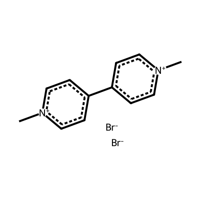 C[n+]1ccc(-c2cc[n+](C)cc2)cc1.[Br-].[Br-]